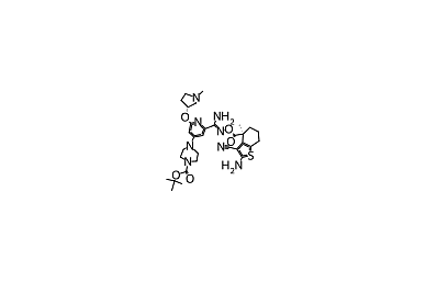 CN1CC[C@@H](Oc2cc(N3CCN(C(=O)OC(C)(C)C)CC3)cc(/C(N)=N/OC(=O)[C@@]3(C)CCCc4sc(N)c(C#N)c43)n2)C1